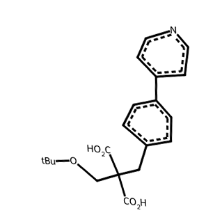 CC(C)(C)OCC(Cc1ccc(-c2ccncc2)cc1)(C(=O)O)C(=O)O